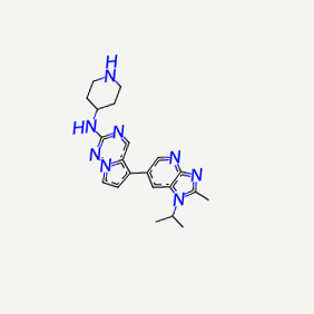 Cc1nc2ncc(-c3ccn4nc(NC5CCNCC5)ncc34)cc2n1C(C)C